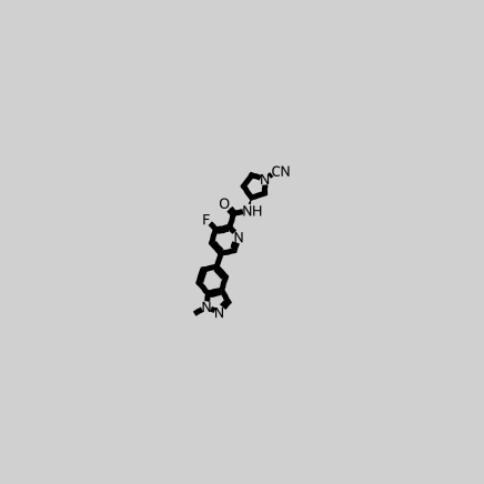 Cn1ncc2cc(-c3cnc(C(=O)N[C@@H]4CCN(C#N)C4)c(F)c3)ccc21